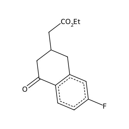 CCOC(=O)CC1CC(=O)c2ccc(F)cc2C1